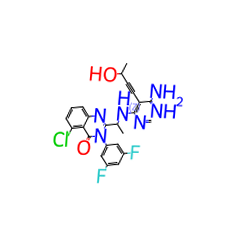 C=N/C(NC(C)c1nc2cccc(Cl)c2c(=O)n1-c1cc(F)cc(F)c1)=C(/C#CC(C)O)C(=N)N